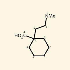 CNCCC1(C(=O)O)CCCCC1